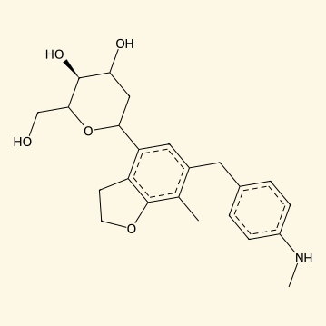 CNc1ccc(Cc2cc(C3CC(O)[C@H](O)C(CO)O3)c3c(c2C)OCC3)cc1